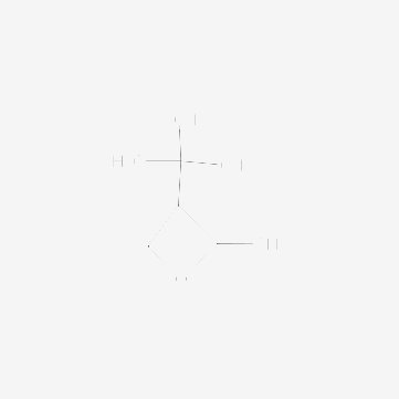 CC1OCC1C(C)(C)C